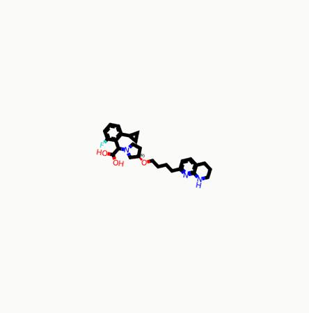 OC(O)C(c1c(F)cccc1C1CC1)N1CC[C@@H](OCCCCc2ccc3c(n2)NCCC3)C1